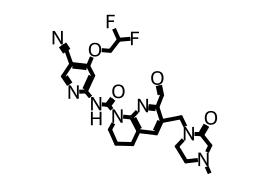 CN1CCN(Cc2cc3c(nc2C=O)N(C(=O)Nc2cc(OCC(F)F)c(C#N)cn2)CCC3)C(=O)C1